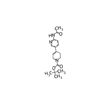 CC(=O)Nc1ccc(C2=CCN(C(=O)OC(C)(C)C)CC2)cn1